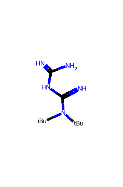 CCC(C)N(C(=N)NC(=N)N)C(C)(C)C